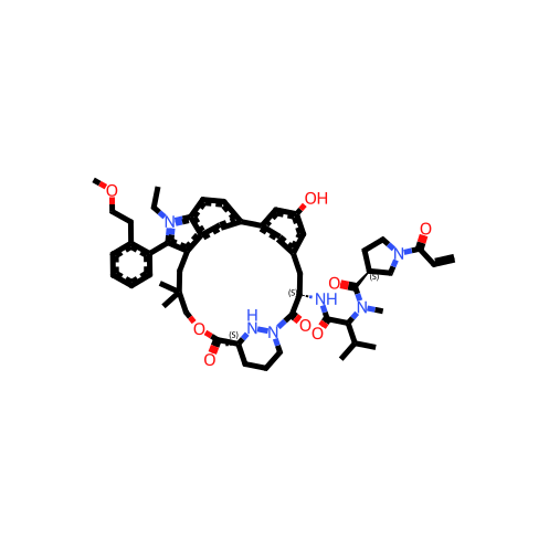 C=CC(=O)N1CC[C@H](C(=O)N(C)C(C(=O)N[C@H]2Cc3cc(O)cc(c3)-c3ccc4c(c3)c(c(-c3ccccc3CCOC)n4CC)CC(C)(C)COC(=O)[C@]3(C)CCCN(N3)C2=O)C(C)C)C1